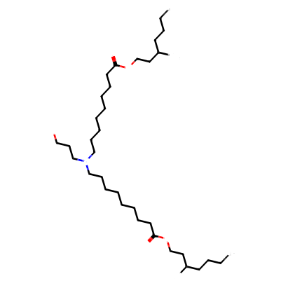 CC(C)CCCC(C)CCOC(=O)CCCCCCCCN(CCCO)CCCCCCCCC(=O)OCCC(C)CCCC(C)C